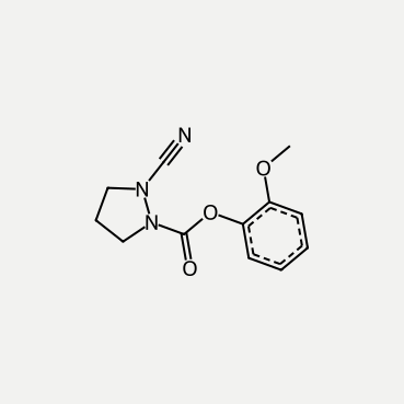 COc1ccccc1OC(=O)N1CCCN1C#N